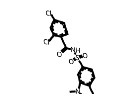 CN1CCc2ccc(S(=O)(=O)NC(=O)c3ccc(Cl)cc3Cl)cc21